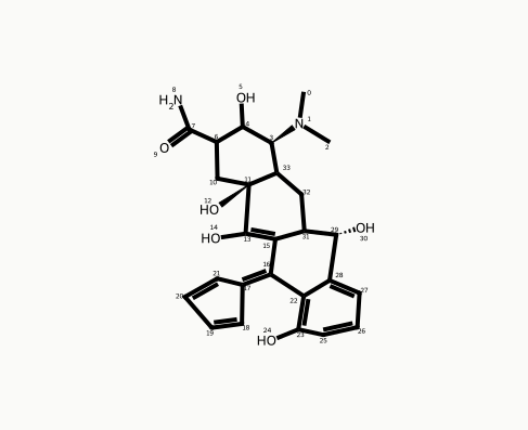 CN(C)[C@@H]1C(O)C(C(N)=O)C[C@@]2(O)C(O)=C3C(=C4C=CC=C4)c4c(O)cccc4[C@@H](O)C3CC12